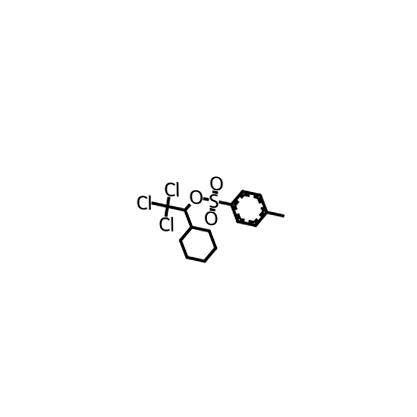 Cc1ccc(S(=O)(=O)OC(C2CCCCC2)C(Cl)(Cl)Cl)cc1